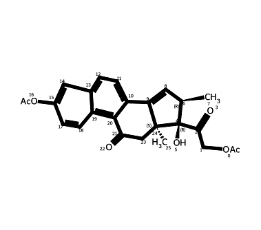 CC(=O)OCC(=O)[C@@]1(O)[C@H](C)C=C2c3ccc4cc(OC(C)=O)ccc4c3C(=O)C[C@@]21C